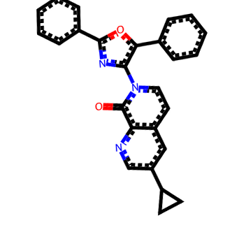 O=c1c2ncc(C3CC3)cc2ccn1-c1nc(-c2ccccc2)oc1-c1ccccc1